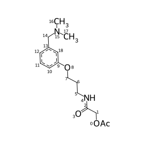 CC(=O)OCC(=O)NCCCOc1cccc(CN(C)C)c1